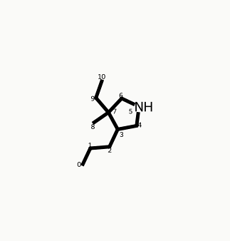 CCCC1CNCC1(C)CC